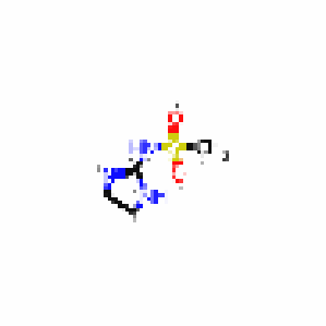 CS(=O)(=O)NC1=NC[CH]N1